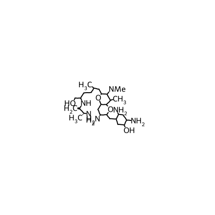 C=C(NC(CO)CCC(C)CC1OC2CC(N)C(CC3CC(O)C(N)CC3N)OC2C(C)C1NC)[C@@H](C)N